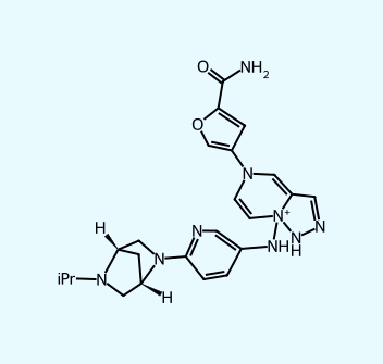 CC(C)N1C[C@@H]2C[C@H]1CN2c1ccc(N[N+]23C=CN(c4coc(C(N)=O)c4)C=C2C=NN3)cn1